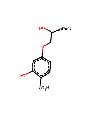 CCCCCC(O)COc1ccc(C(=O)O)c(O)c1